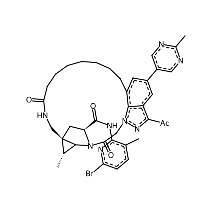 CC(=O)c1nn2c3c(cc(-c4cnc(C)nc4)cc13)CCCCCCCC(=O)NC[C@@]13C[C@@H](C(=O)Nc4nc(Br)ccc4C)N(C(=O)C2)C1[C@@H]3C